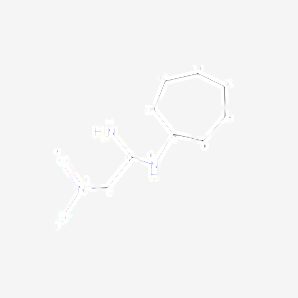 NC(C[N+](=O)[O-])NC1CCCCCC1